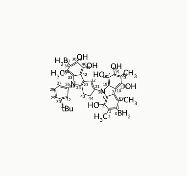 Bc1c(C)c(O)c2c(c1C)c1c(O)c(C)c(O)c(O)c1n2C1=Cc2c(n(-c3cccc(C(C)(C)C)c3)c3c(C)c(B)c(O)c(O)c23)CC1